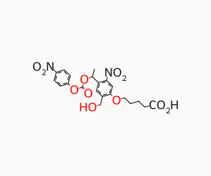 CC(OC(=O)Oc1ccc([N+](=O)[O-])cc1)c1cc(CO)c(OCCCCC(=O)O)cc1[N+](=O)[O-]